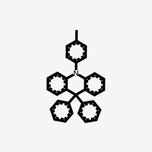 Cc1ccc(N2c3ccccc3C(c3ccccc3)(c3ccccc3)c3ccccc32)cc1